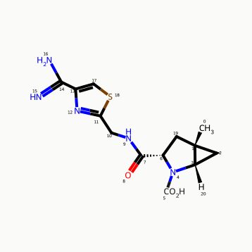 C[C@@]12C[C@@H]1N(C(=O)O)[C@H](C(=O)NCc1nc(C(=N)N)cs1)C2